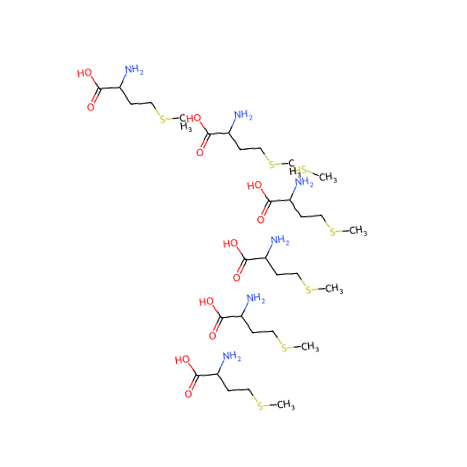 CS.CSCCC(N)C(=O)O.CSCCC(N)C(=O)O.CSCCC(N)C(=O)O.CSCCC(N)C(=O)O.CSCCC(N)C(=O)O.CSCCC(N)C(=O)O